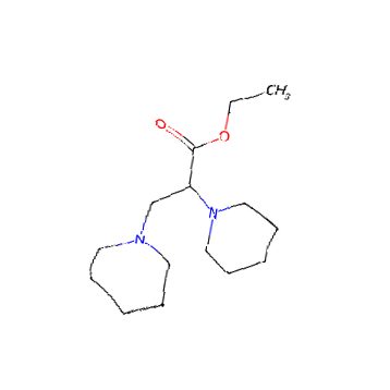 CCOC(=O)C(CN1CCCCC1)N1CCCCC1